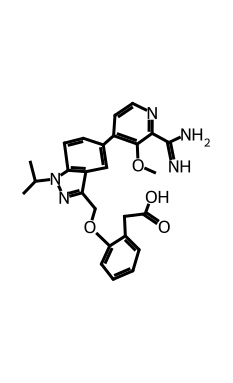 COc1c(-c2ccc3c(c2)c(COc2ccccc2CC(=O)O)nn3C(C)C)ccnc1C(=N)N